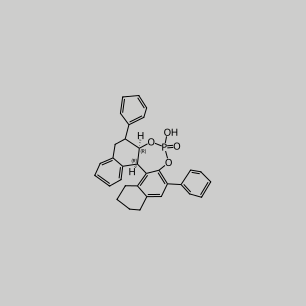 O=P1(O)Oc2c(-c3ccccc3)cc3c(c2[C@H]2c4ccccc4CC(c4ccccc4)[C@H]2O1)CCCC3